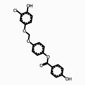 O=C(Oc1ccc(OCOc2ccc(O)c(Cl)c2)cc1)c1ccc(O)cc1